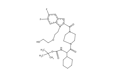 CC(C)(C)OC(=O)NC(C(=O)N1CCN(C(=O)c2cc3cc(F)c(F)cc3n2CCOCCO)CC1)C1CCCCC1